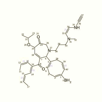 BC1=CC/C=C(/C2C(C(=O)C(/C=C\C)=C/C=C\C)=CC(OC(C)C)C(=O)CN2CCCN(C)/C=C\NC#C)C/C=C\1